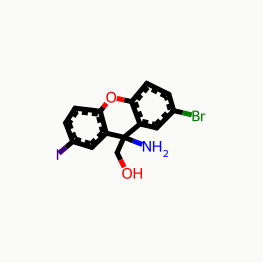 NC1(CO)c2cc(Br)ccc2Oc2ccc(I)cc21